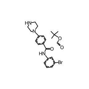 CC(C)(C)OC=O.O=C(Nc1cccc(Br)c1)c1ccc(N2CCNCC2)cc1